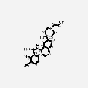 C[C@@H](Nc1ccnc2cnc(C3(O)CCN(CCO)CC3)cc12)c1cccc(C#N)c1F